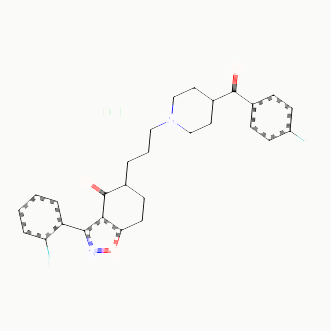 Cl.O=C(c1ccc(F)cc1)C1CCN(CCCC2CCc3onc(-c4ccccc4F)c3C2=O)CC1